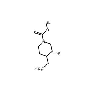 CCOC(=O)CC1CCN(C(=O)OC(C)(C)C)C[C@@H]1F